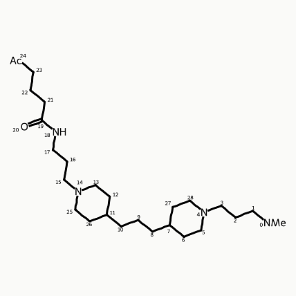 CNCCCN1CCC(CCCC2CCN(CCCNC(=O)CCCC(C)=O)CC2)CC1